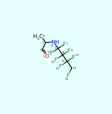 CC([C]=O)NC(F)(F)C(F)(F)C(F)(F)CF